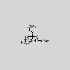 COCCC(CN)(CCOC)NC(=O)O